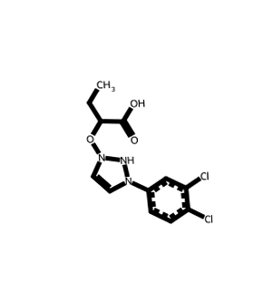 CCC(ON1C=CN(c2ccc(Cl)c(Cl)c2)N1)C(=O)O